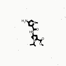 COC(=O)c1cc(NC(=O)c2cc(N)cn2C)cn1C(C)C